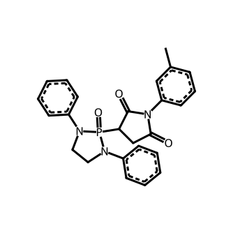 Cc1cccc(N2C(=O)CC(P3(=O)N(c4ccccc4)CCN3c3ccccc3)C2=O)c1